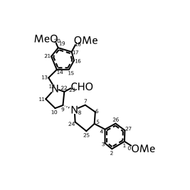 COc1ccc(C2CCN([C@@H]3CCN(Cc4ccc(OC)c(OC)c4)C3C=O)CC2)cc1